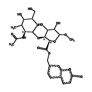 COC1O[C@@H](C(=O)OCc2ccc3ccc(=O)oc3c2)[C@@H](OC2OC(CO)C(O)C(C)[C@@H]2NC(C)=O)C(O)C1O